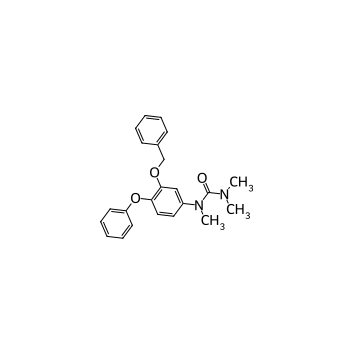 CN(C)C(=O)N(C)c1ccc(Oc2ccccc2)c(OCc2ccccc2)c1